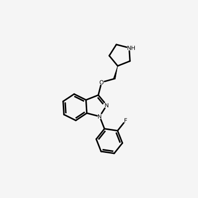 Fc1ccccc1-n1nc(OC[C@H]2CCNC2)c2ccccc21